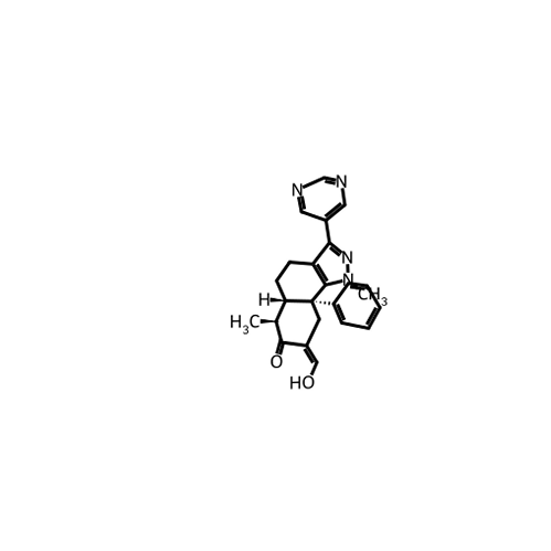 C[C@@H]1C(=O)C(=CO)C[C@]2(c3ccccc3)c3c(c(-c4cncnc4)nn3C)CC[C@@H]12